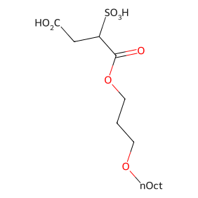 CCCCCCCCOCCCOC(=O)C(CC(=O)O)S(=O)(=O)O